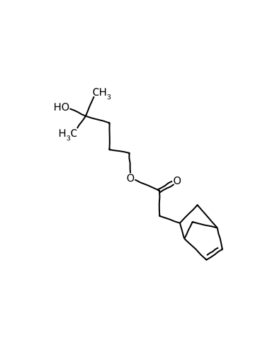 CC(C)(O)CCCOC(=O)CC1CC2C=CC1C2